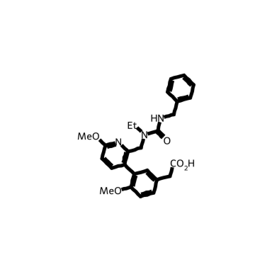 CCN(Cc1nc(OC)ccc1-c1cc(CC(=O)O)ccc1OC)C(=O)NCc1ccccc1